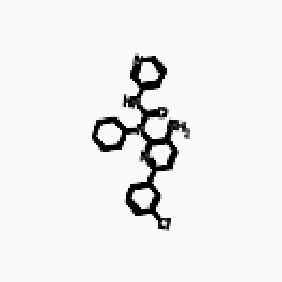 Nc1ccc(-c2cccc(Cl)c2)nc1N(C(=O)Nc1cccnc1)C1CCCCC1